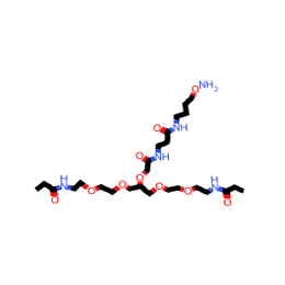 CCC(=O)NCCOCCOCC(COCCOCCNC(=O)CC)OCC(=O)NCCC(=O)NCCCCON